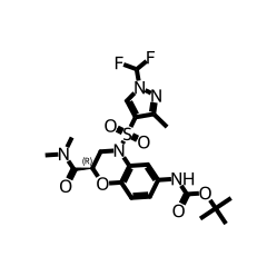 Cc1nn(C(F)F)cc1S(=O)(=O)N1C[C@H](C(=O)N(C)C)Oc2ccc(NC(=O)OC(C)(C)C)cc21